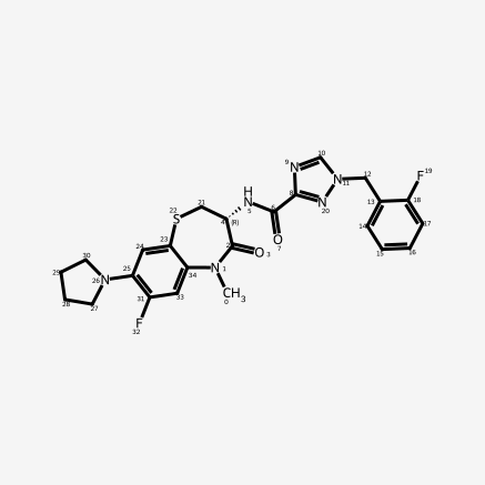 CN1C(=O)[C@@H](NC(=O)c2ncn(Cc3ccccc3F)n2)CSc2cc(N3CCCC3)c(F)cc21